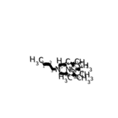 CC=CCN1CCN([Si](C(C)C)(C(C)C)C(C)C)CC1